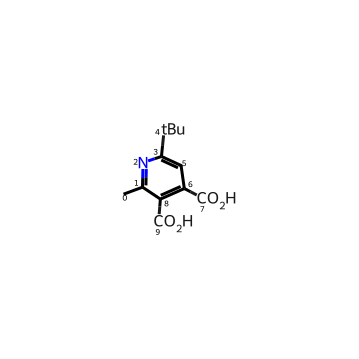 Cc1nc(C(C)(C)C)cc(C(=O)O)c1C(=O)O